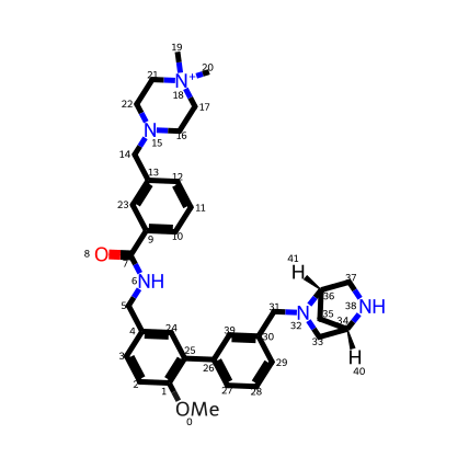 COc1ccc(CNC(=O)c2cccc(CN3CC[N+](C)(C)CC3)c2)cc1-c1cccc(CN2C[C@@H]3C[C@H]2CN3)c1